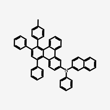 Cc1ccc(-c2c(-c3ccccc3)cc(-c3ccccc3)c3c4ccc(N(c5ccccc5)c5ccc6ccccc6c5)cc4c4ccccc4c23)cc1